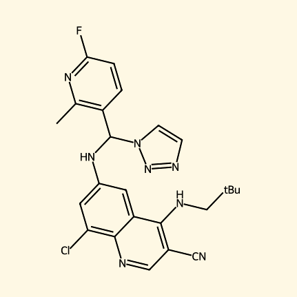 Cc1nc(F)ccc1C(Nc1cc(Cl)c2ncc(C#N)c(NCC(C)(C)C)c2c1)n1ccnn1